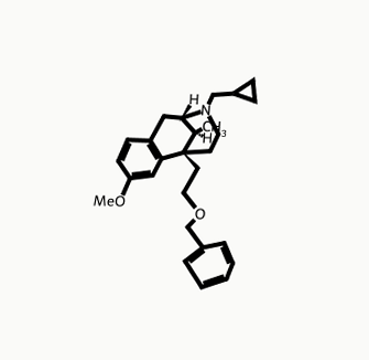 COc1ccc2c(c1)[C@@]1(CCOCc3ccccc3)CCN(CC3CC3)[C@@H](C2)[C@H]1C